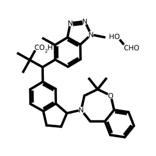 Cc1c(C(c2ccc3c(c2)C(N2Cc4ccccc4OC(C)(C)C2)CC3)C(C)(C)C(=O)O)ccc2c1nnn2C.O=CO